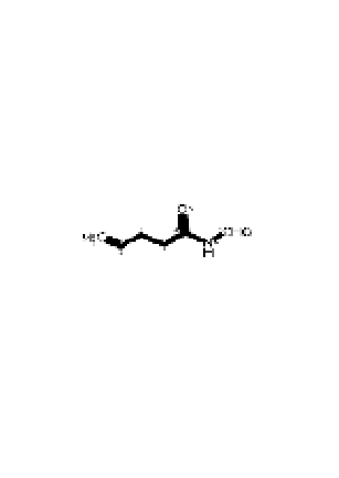 C=CCCC(=O)NC=O